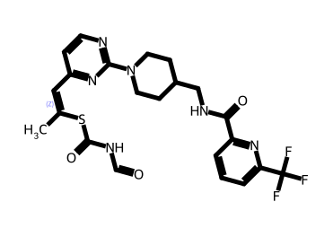 C/C(=C/c1ccnc(N2CCC(CNC(=O)c3cccc(C(F)(F)F)n3)CC2)n1)SC(=O)NC=O